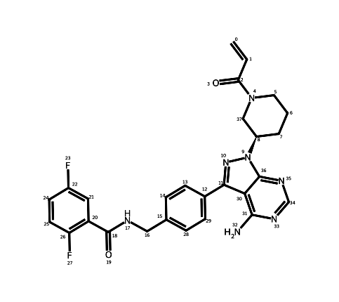 C=CC(=O)N1CCC[C@@H](n2nc(-c3ccc(CNC(=O)c4cc(F)ccc4F)cc3)c3c(N)ncnc32)C1